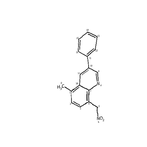 Cc1ccc(C[N+](=O)[O-])c2ncc(-c3ccccc3)cc12